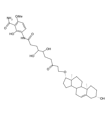 COc1ccc(NC(=O)CCC(O)C(O)CCC(=O)CCO[C@H]2CCC3C4CC=C5C[C@@H](O)CC[C@]5(C)C4CC[C@@]32C)c(O)c1C(N)=O